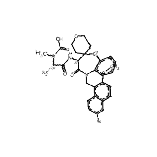 COc1ccc2cc(Br)ccc2c1CN1C(=O)[C@@H](NC(=O)[C@H](C)N(C)C(=O)O)C2(CCOCC2)Oc2ccccc21